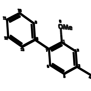 COc1[c]c(C)ccc1-c1ccccc1